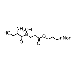 CCCCCCCCCCCCOC(=O)CCN(O)C(=O)[C@@H](N)CO